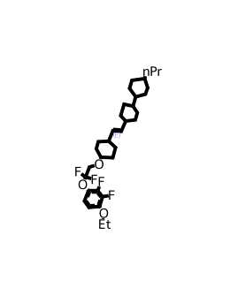 CCCC1CCC(C2CCC(/C=C/C3CCC(OCC(F)(F)Oc4ccc(OCC)c(F)c4F)CC3)CC2)CC1